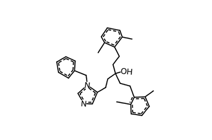 Cc1cccc(C)c1CCC(O)(CCc1c(C)cccc1C)CCc1cncn1Cc1ccccc1